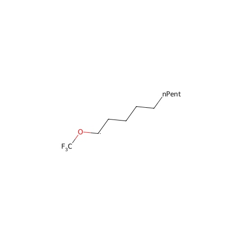 CCCCCCCCC[CH]OC(F)(F)F